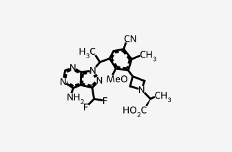 COc1c(C(C)n2nc(C(F)F)c3c(N)ncnc32)cc(C#N)c(C)c1C1CN([C@@H](C)C(=O)O)C1